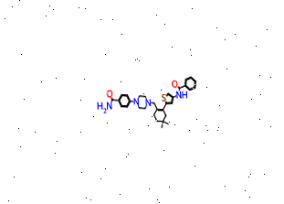 CC1(C)CCC(CN2CCN(c3ccc(C(N)=O)cc3)CC2)=C(c2cc(NC(=O)c3ccccc3)cs2)C1